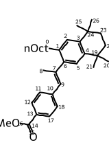 CCCCCCCCc1cc2c(cc1/C(C)=C/c1ccc(C(=O)OC)cc1)C(C)(C)CCC2(C)C